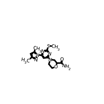 CSc1nc(N2CCOC(C(N)=O)C2)cc(-n2nc(C)cc2C)n1